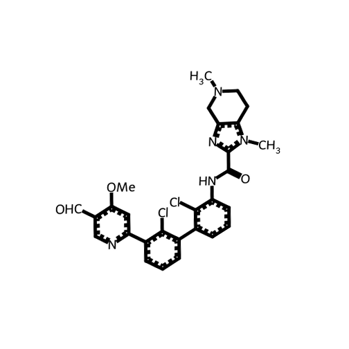 COc1cc(-c2cccc(-c3cccc(NC(=O)c4nc5c(n4C)CCN(C)C5)c3Cl)c2Cl)ncc1C=O